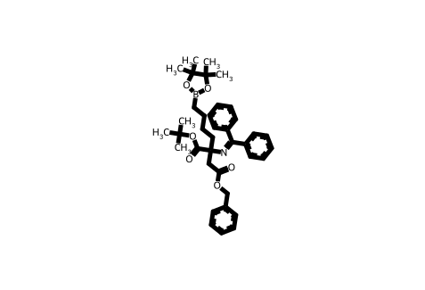 CC(C)(C)OC(=O)C(CCCCB1OC(C)(C)C(C)(C)O1)(CC(=O)OCc1ccccc1)N=C(c1ccccc1)c1ccccc1